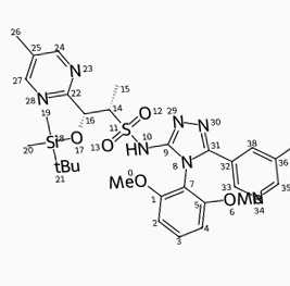 COc1cccc(OC)c1-n1c(NS(=O)(=O)[C@@H](C)[C@H](O[Si](C)(C)C(C)(C)C)c2ncc(C)cn2)nnc1-c1cncc(C)c1